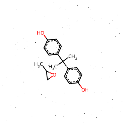 CC(C)(c1ccc(O)cc1)c1ccc(O)cc1.CC1CO1